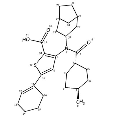 C[C@H]1CC[C@H](C(=O)N(c2cc(C3=CCCCC3)sc2C(=O)O)C2CC3CCC(C3)C2)CC1